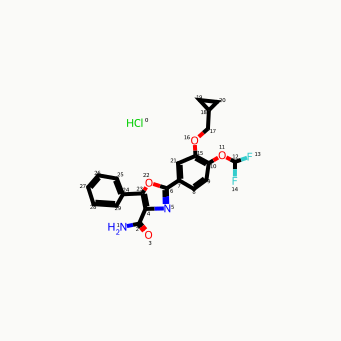 Cl.NC(=O)c1nc(-c2ccc(OC(F)F)c(OCC3CC3)c2)oc1-c1ccccc1